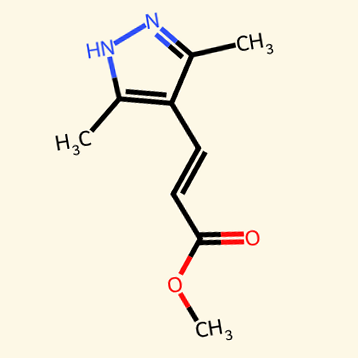 COC(=O)C=Cc1c(C)n[nH]c1C